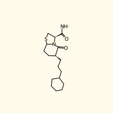 [NH]C(=O)[C@@H]1CSC2CC[C@H](CCCC3CCCCC3)C(=O)N21